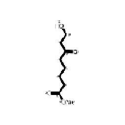 COC(=O)CCCCC(=O)CCO